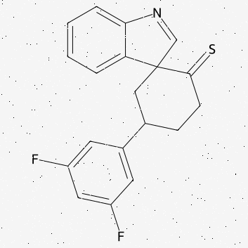 Fc1cc(F)cc(C2CCC(=S)C3(C=Nc4ccccc43)C2)c1